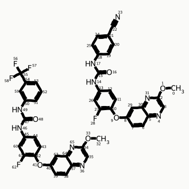 COc1cnc2ccc(Oc3ccc(NC(=O)Nc4ccc(C#N)cc4)cc3F)cc2n1.COc1cnc2ccc(Oc3ccc(NC(=O)Nc4cccc(C(F)(F)F)c4)cc3F)cc2n1